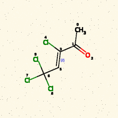 CC(=O)/C(Cl)=C/C(Cl)(Cl)Cl